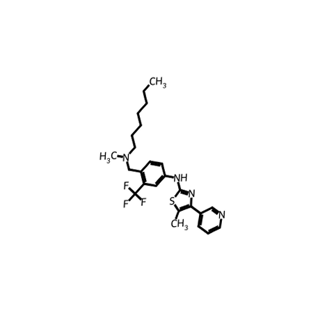 CCCCCCCN(C)Cc1ccc(Nc2nc(-c3cccnc3)c(C)s2)cc1C(F)(F)F